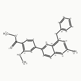 COC(=O)c1ccc(-c2ccc3nc(N)nc(Cc4ccccc4)c3n2)cc1OC